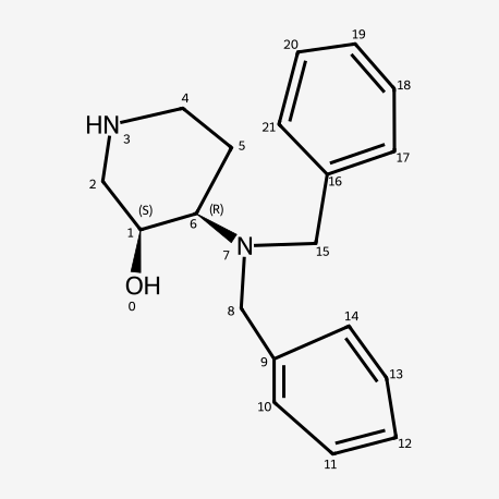 O[C@H]1CNCC[C@H]1N(Cc1ccccc1)Cc1ccccc1